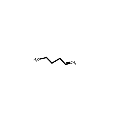 C=[C]CC[CH]C